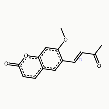 COc1cc2oc(=O)ccc2cc1/C=C/C(C)=O